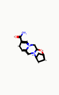 NC(=O)C1=CN2CC3OC4CCC(C4)N3CC2=CC1